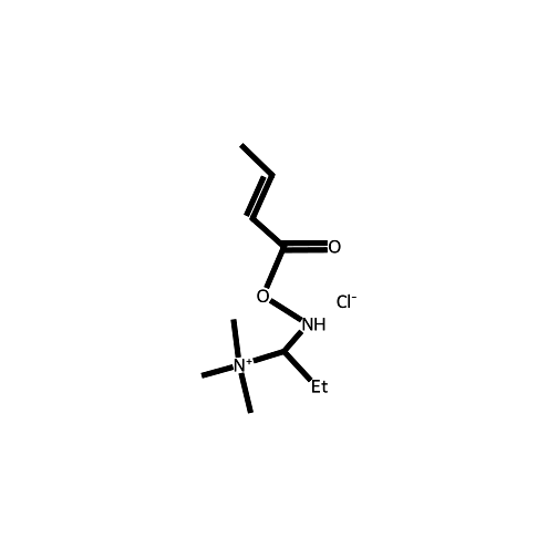 CC=CC(=O)ONC(CC)[N+](C)(C)C.[Cl-]